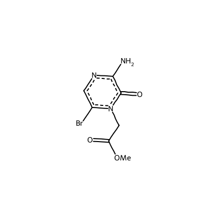 COC(=O)Cn1c(Br)cnc(N)c1=O